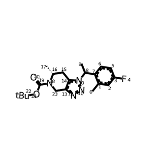 Cc1cc(F)ccc1C(C)n1nnc2c1C[C@@H](C)N(C(=O)OC(C)(C)C)C2